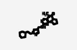 CN1C(=O)C2CCCN2c2nc(NCc3cnn(CCC4CCCCC4)c3)ncc21